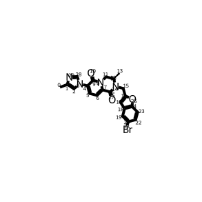 Cc1cn(-c2ccc3n(c2=O)C[C@@H](C)N(Cc2cc4cc(Br)ccc4o2)C3=O)cn1